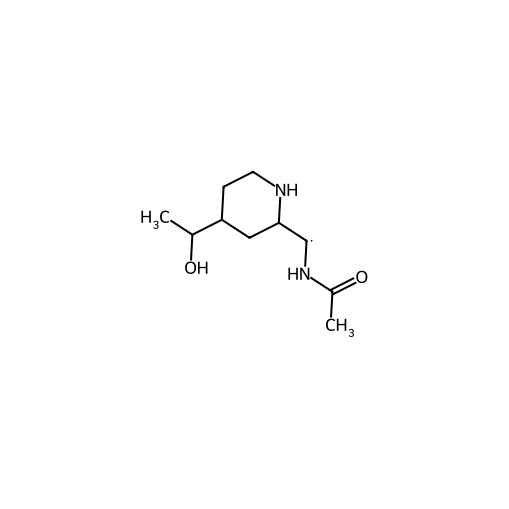 CC(=O)N[CH]C1CC(C(C)O)CCN1